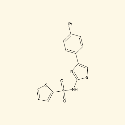 CC(C)c1ccc(-c2csc(NS(=O)(=O)c3cccs3)n2)cc1